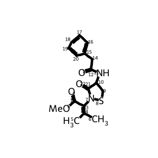 COC(=O)C(=C(C)C)N1SCC(NC(=O)Cc2ccccc2)C1=O